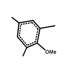 [CH2]Oc1c(C)cc(C)cc1C